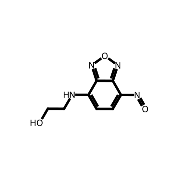 O=Nc1ccc(NCCO)c2nonc12